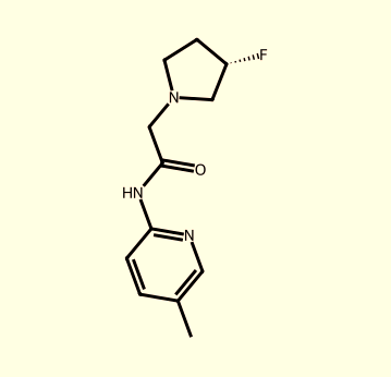 Cc1ccc(NC(=O)CN2CC[C@H](F)C2)nc1